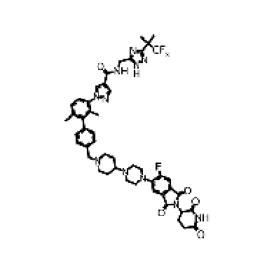 Cc1ccc(-n2cc(C(=O)NCc3nc(C(C)(C)C(F)(F)F)n[nH]3)cn2)c(C)c1-c1ccc(CN2CCC(N3CCN(c4cc5c(cc4F)C(=O)N(C4CCC(=O)NC4=O)C5=O)CC3)CC2)cc1